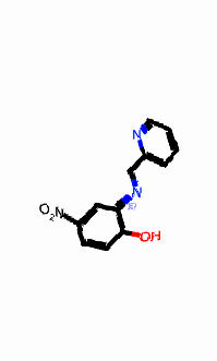 O=[N+]([O-])C1=C/C(=N\Cc2ccccn2)C(O)C=C1